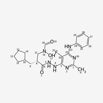 Cc1nc(NNC(=O)[C@H](CC2CCCC2)CN(O)C=O)c(F)c(Nc2ccccc2)n1